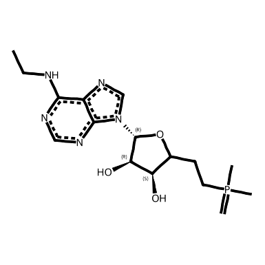 C=P(C)(C)CCC1O[C@@H](n2cnc3c(NCC)ncnc32)[C@H](O)[C@@H]1O